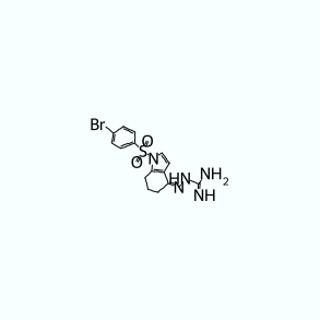 N=C(N)N/N=C1/CCCc2c1ccn2S(=O)(=O)c1ccc(Br)cc1